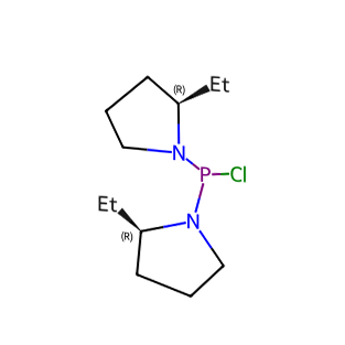 CC[C@@H]1CCCN1P(Cl)N1CCC[C@H]1CC